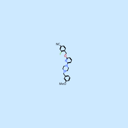 COc1[c]c(CN2CCN(c3cccc(OCc4ccc(C#N)cc4F)n3)CC2)ccc1